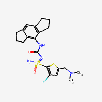 CN(C)Cc1cc(F)c([S@@](N)(=O)=NC(=O)Nc2c3c(cc4c2CCC4)CCC3)s1